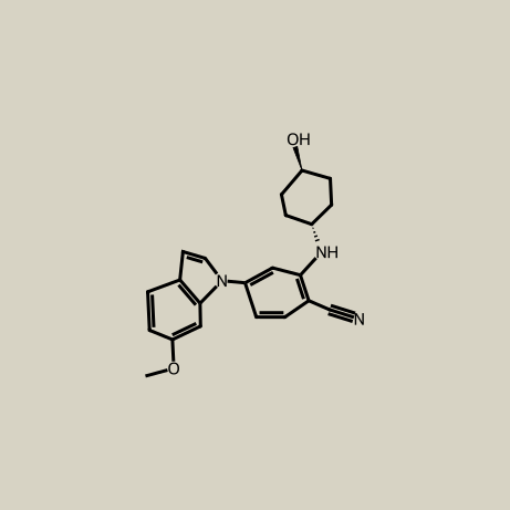 COc1ccc2ccn(-c3ccc(C#N)c(N[C@H]4CC[C@H](O)CC4)c3)c2c1